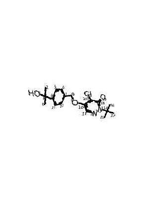 CC(C)(O)c1ccc(COc2cnn(C(C)(C)C)c(=O)c2Cl)cc1